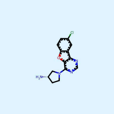 N[C@H]1CCN(c2ncnc3c2oc2ccc(Cl)cc23)C1